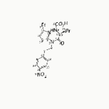 CCc1csc(N(CCc2ccc([N+](=O)[O-])cc2)C(=O)[C@@H](NC(=O)O)C(C)C)n1